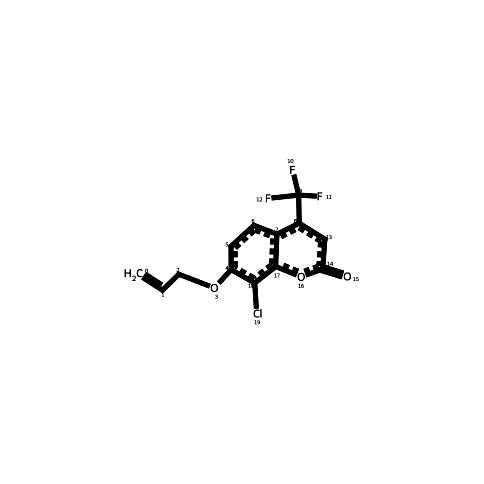 C=CCOc1ccc2c(C(F)(F)F)cc(=O)oc2c1Cl